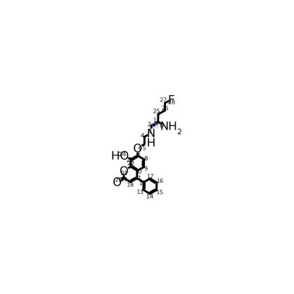 N/C(=C\NCCOc1ccc2c(-c3ccccc3)cc(=O)oc2c1O)CCCF